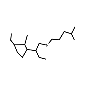 CCC1CCC(C(CC)CNCCCC(C)C)C1C